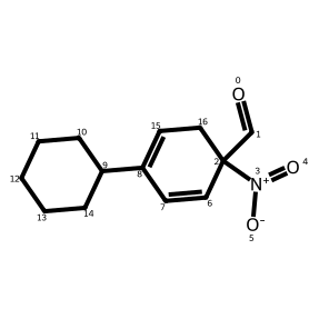 O=CC1([N+](=O)[O-])C=CC(C2CCCCC2)=CC1